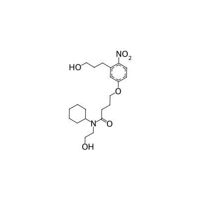 O=C(CCCOc1ccc([N+](=O)[O-])c(CCCO)c1)N(CCO)C1CCCCC1